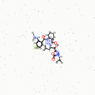 CC(C)CC(NC(=O)[C@@H]1CCCC[C@@H]1NC(=O)c1ccc(F)cc1CN(C)C)C(=O)c1nn(CC(C)C)c(=O)o1